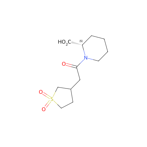 O=C(O)[C@@H]1CCCCN1C(=O)CC1CCS(=O)(=O)C1